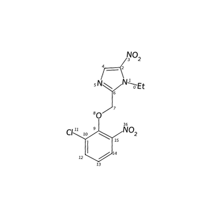 CCn1c([N+](=O)[O-])cnc1COc1c(Cl)cccc1[N+](=O)[O-]